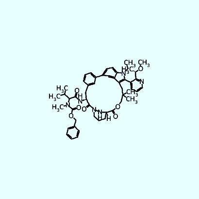 CCn1c(-c2cccnc2[C@H](C)OC)c2c3cc(ccc31)-c1cccc(c1)C[C@H](NC(=O)C(C(C)C)N(C)C(=O)OCc1ccccc1)C(=O)N1CCC[C@H](N1)C(=O)OCC(C)(C)C2